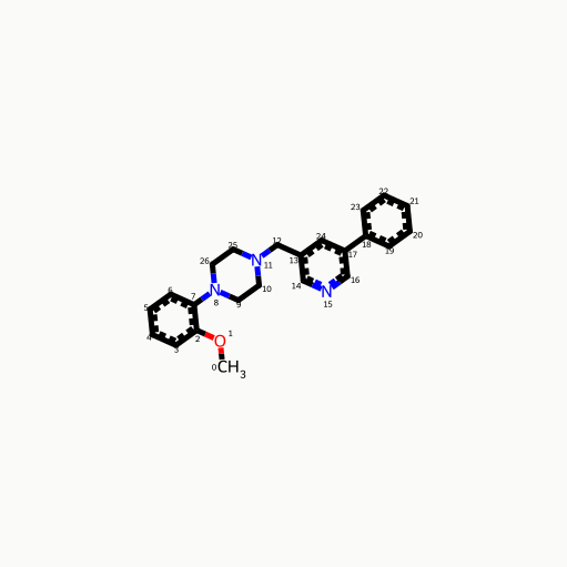 COc1ccccc1N1CCN(Cc2cncc(-c3ccccc3)c2)CC1